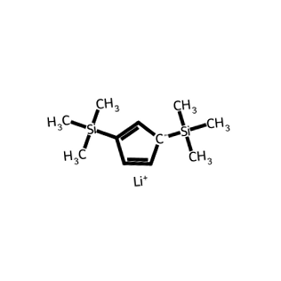 C[Si](C)(C)c1cc[c-]([Si](C)(C)C)c1.[Li+]